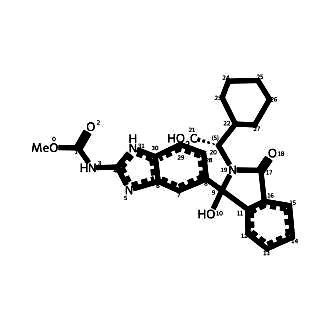 COC(=O)Nc1nc2cc(C3(O)c4ccccc4C(=O)N3[C@H](C(=O)O)C3CCCCC3)ccc2[nH]1